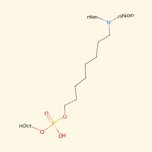 CCCCCCCCCN(CCCCCCCCC)CCCCCCCCOP(=O)(O)OCCCCCCCC